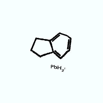 [PbH2].c1ccc2c(c1)CCC2